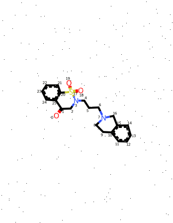 O=C1CN(CCCN2CCc3ccccc3C2)S(=O)(=O)c2ccccc21